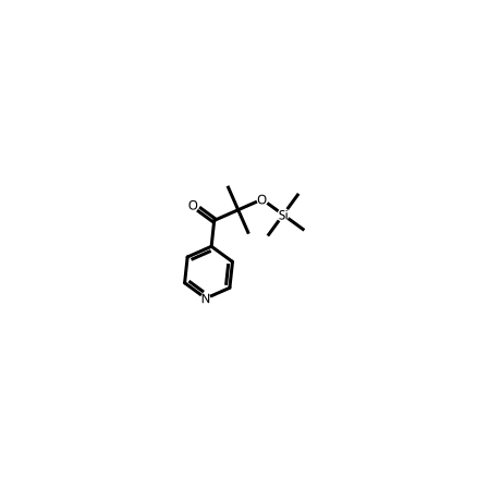 CC(C)(O[Si](C)(C)C)C(=O)c1ccncc1